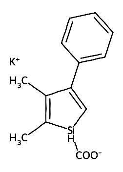 CC1=C(C)[SiH](C(=O)[O-])C=C1c1ccccc1.[K+]